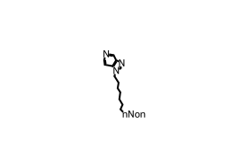 CCCCCCCCCCCCCCCCn1cnc2cnccc21